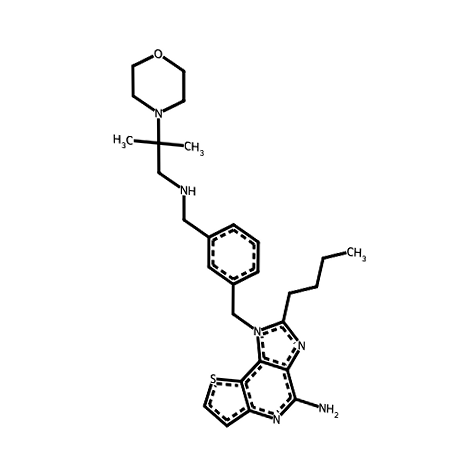 CCCCc1nc2c(N)nc3ccsc3c2n1Cc1cccc(CNCC(C)(C)N2CCOCC2)c1